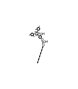 C#CC#CC#CC#CC#CC#COCC(O)COc1ccc(-c2nc(-c3ccc(C)cc3C)nc(-c3ccc(C)cc3C)n2)c(O)c1